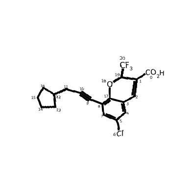 O=C(O)C1=Cc2cc(Cl)cc(C#CCC3CCCC3)c2OC1C(F)(F)F